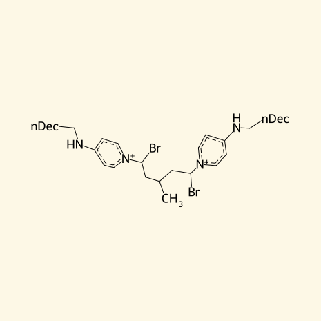 CCCCCCCCCCCNc1cc[n+](C(Br)CC(C)CC(Br)[n+]2ccc(NCCCCCCCCCCC)cc2)cc1